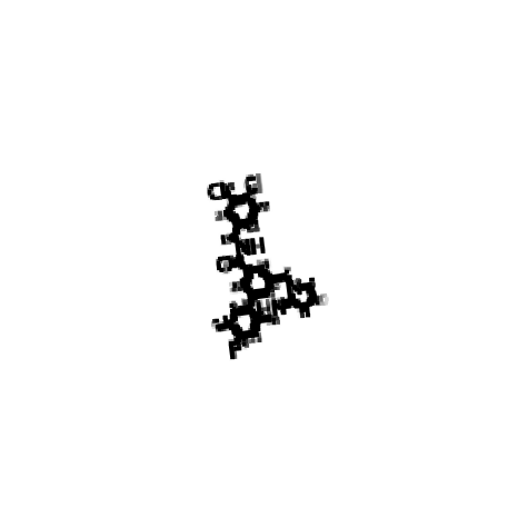 Cc1cc(-c2cc(CN3CCCC3=N)cc(C(=O)NCc3ccc(Cl)c(Cl)c3)c2)c(C)cc1F